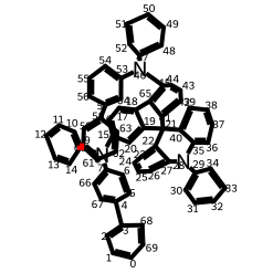 c1ccc(-c2ccc(N(c3ccccc3)c3ccc4c(c3)C3(c5ccccc5N(c5ccccc5)c5ccccc53)c3cccc(N(c5ccccc5)c5cccc(-c6ccccc6)c5)c3-4)cc2)cc1